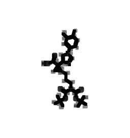 Cc1ccc(-n2cnc([C@@]3(C(=O)O)C[C@@H]3CCCN(C(=O)OC(C)(C)C)C(=O)OC(C)(C)C)c2)cc1C